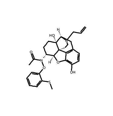 C=CCN1CC[C@]23c4c5ccc(O)c4O[C@H]2[C@H](N(Oc2ccccc2SC)C(C)=O)CC[C@@]3(O)[C@H]1C5